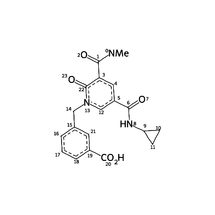 CNC(=O)c1cc(C(=O)NC2CC2)cn(Cc2cccc(C(=O)O)c2)c1=O